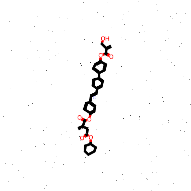 C=C(CO)C(=O)Oc1ccc(-c2ccc(/C=C/c3ccc(OC(=O)C(=C)CC(=O)OC4CCCCC4)cc3)cc2)cc1